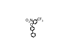 O=[N+]([O-])c1cc(C(F)(F)F)ccc1Oc1ccc(-c2ccccc2)cc1